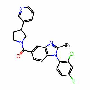 CC(C)c1nc2cc(C(=O)N3CCC(c4cccnc4)C3)ccc2n1-c1ccc(Cl)cc1Cl